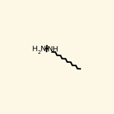 CCCCCCCCCCCCNC(C)(C)N